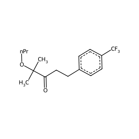 CCCOC(C)(C)C(=O)CCc1ccc(C(F)(F)F)cc1